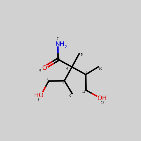 CC(CO)C(C)(C(N)=O)C(C)CO